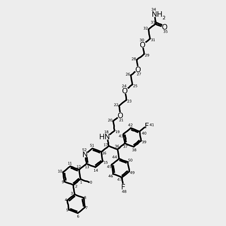 Cc1c(-c2ccccc2)cccc1-c1ccc(C(NCCOCCOCCOCCOCCC(N)=O)C(c2ccc(F)cc2)c2ccc(F)cc2)cn1